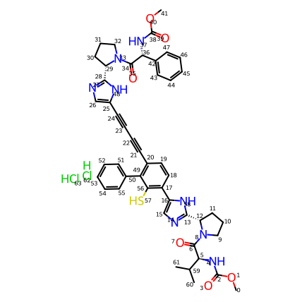 COC(=O)N[C@H](C(=O)N1CCC[C@H]1c1ncc(-c2ccc(C#CC#Cc3cnc([C@@H]4CCCN4C(=O)[C@H](NC(=O)OC)c4ccccc4)[nH]3)c(-c3ccccc3)c2S)[nH]1)C(C)C.Cl.Cl